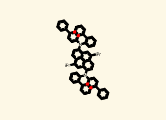 CC(C)c1cc2c(N(c3ccc(-c4ccccc4)cc3)c3ccccc3-c3ccccc3)ccc3c(C(C)C)cc4c(N(c5ccc(-c6ccccc6)cc5)c5ccccc5-c5ccccc5)ccc1c4c32